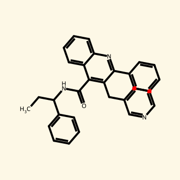 CCC(NC(=O)c1c(Cc2cccnc2)c(-c2ccccc2)nc2ccccc12)c1ccccc1